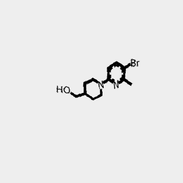 Cc1nc(N2CCC(CO)CC2)ccc1Br